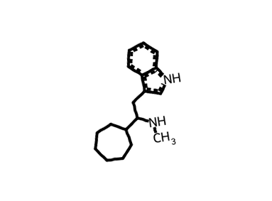 CNC(Cc1c[nH]c2ccccc12)C1CCCCCC1